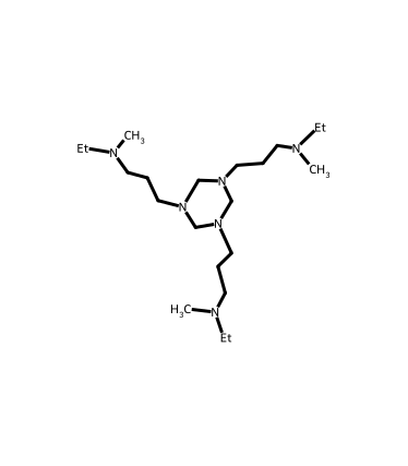 CCN(C)CCCN1CN(CCCN(C)CC)CN(CCCN(C)CC)C1